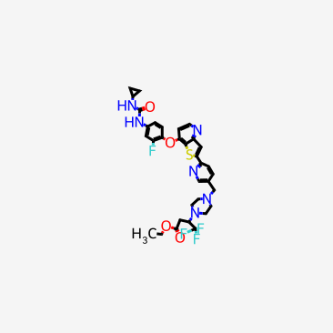 CCOC(=O)CC(N1CCN(Cc2ccc(-c3cc4nccc(Oc5ccc(NC(=O)NC6CC6)cc5F)c4s3)nc2)CC1)C(F)(F)F